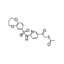 CC(=O)SCC(=O)c1ccc(NS(=O)(=O)c2ccc3c(c2)OCCCO3)nc1